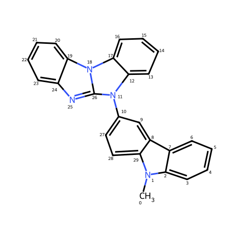 Cn1c2ccccc2c2cc(-n3c4ccccc4n4c5ccccc5nc34)ccc21